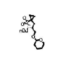 CCCCOS(=O)(=O)C1(CCCOC2CCCCO2)CC1